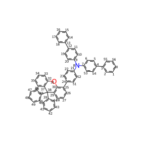 c1ccc(-c2ccc(N(c3ccc(-c4ccccc4)cc3)c3ccc(-c4cccc5c4Oc4ccccc4C5(c4ccccc4)c4ccccc4)cc3)cc2)cc1